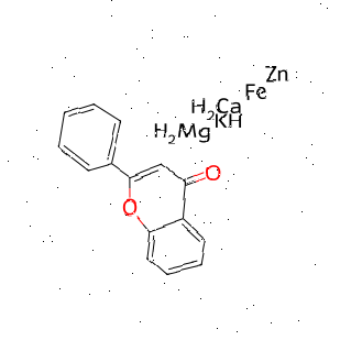 O=c1cc(-c2ccccc2)oc2ccccc12.[CaH2].[Fe].[KH].[MgH2].[Zn]